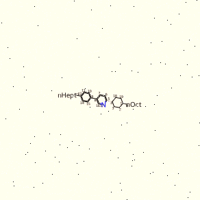 CCCCCCCC[C@H]1CC[C@H](c2ccc(-c3ccc(CCCCCCC)cc3)cn2)CC1